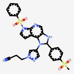 CS(=O)(=O)c1ccc(C2Nc3cnc4c(ccn4S(=O)(=O)c4ccccc4)c3N2c2cnn(CCC#N)c2)cc1